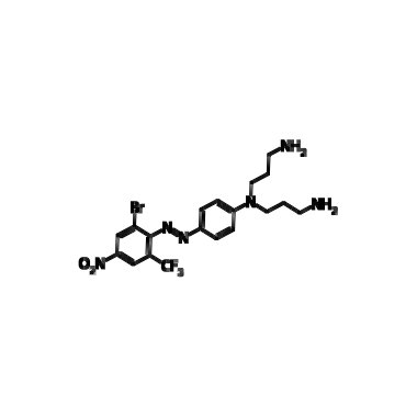 NCCCN(CCCN)c1ccc(N=Nc2c(Br)cc([N+](=O)[O-])cc2C(F)(F)F)cc1